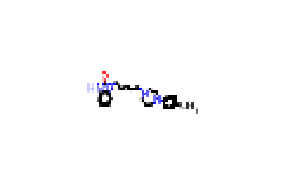 Cc1ccc(N2CCCN(CCCCCn3c(=O)[nH]c4ccccc43)CC2)cc1